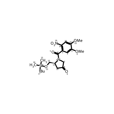 COc1cc(C(=O)N2CC(=O)C[C@H]2CO[Si](C)(C)C(C)(C)C)c([N+](=O)[O-])cc1OC